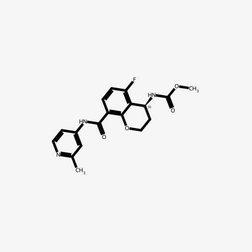 COC(=O)N[C@H]1CCOc2c(C(=O)Nc3ccnc(C)c3)ccc(F)c21